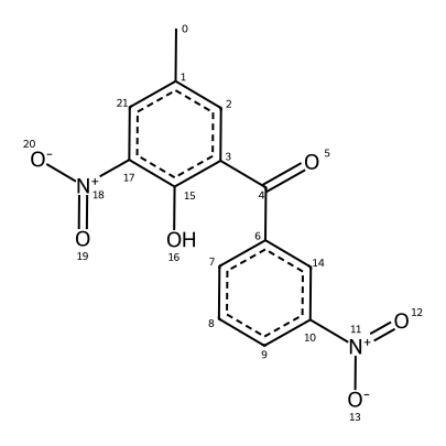 Cc1cc(C(=O)c2cccc([N+](=O)[O-])c2)c(O)c([N+](=O)[O-])c1